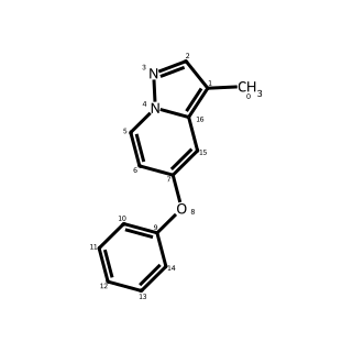 Cc1cnn2ccc(Oc3ccccc3)cc12